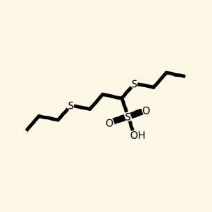 CCCSCCC(SCCC)S(=O)(=O)O